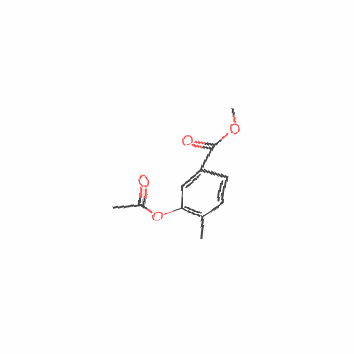 COC(=O)c1ccc(C)c(OC(C)=O)c1